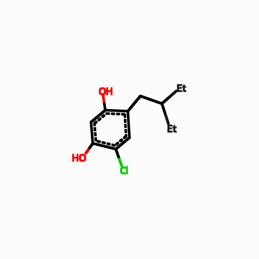 CCC(CC)Cc1cc(Cl)c(O)cc1O